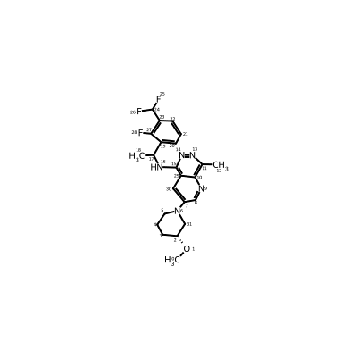 CO[C@@H]1CCCN(c2cnc3c(C)nnc(NC(C)c4cccc(C(F)F)c4F)c3c2)C1